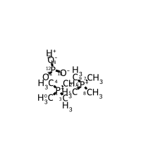 C[P+](C)(C)C.C[P+](C)(C)C.[H+].[O-]P([O-])[O-]